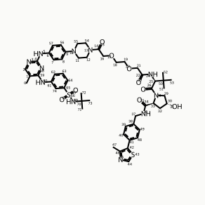 Cc1cnc(Nc2ccc(N3CCN(C(=O)COCCOCC(=O)N[C@H](C(=O)N4C[C@H](O)C[C@H]4C(=O)NCc4ccc(-c5scnc5C)cc4)C(C)(C)C)CC3)cc2)nc1Nc1cccc(S(=O)(=O)NC(C)(C)C)c1